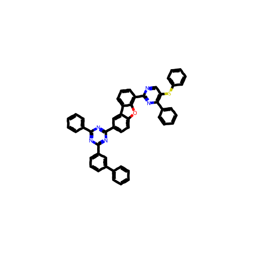 c1ccc(Sc2cnc(-c3cccc4c3oc3ccc(-c5nc(-c6ccccc6)nc(-c6cccc(-c7ccccc7)c6)n5)cc34)nc2-c2ccccc2)cc1